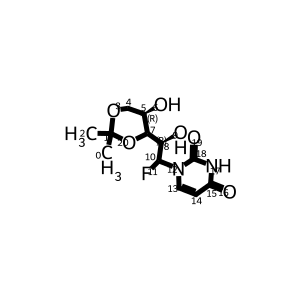 CC1(C)OC[C@@H](O)C([C@@H](O)C(F)n2ccc(=O)[nH]c2=O)O1